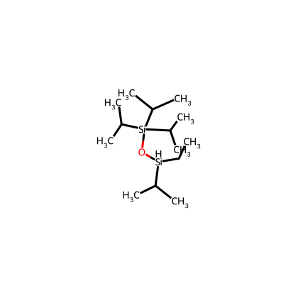 CC[SiH](O[Si](C(C)C)(C(C)C)C(C)C)C(C)C